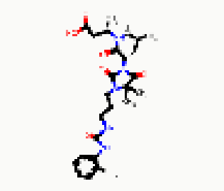 Cc1ccccc1NC(=O)NCCCN1C(=O)N([C@@H](CC(C)C)C(=O)N[C@H](C)CC(=O)O)C(=O)C1(C)C